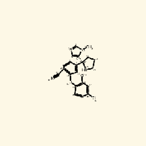 Cn1cncc1[C@]1(c2ccc(C#N)c(Oc3ccc(Cl)cc3Cl)c2)CCCN1